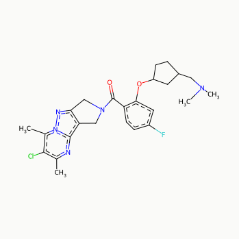 Cc1nc2c3c(nn2c(C)c1Cl)CN(C(=O)c1ccc(F)cc1OC1CCC(CN(C)C)C1)C3